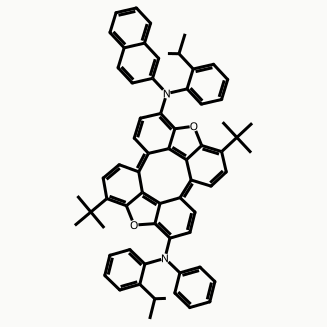 CC(C)c1ccccc1N(c1ccccc1)c1ccc2c3ccc(C(C)(C)C)c4oc5c(N(c6ccc7ccccc7c6)c6ccccc6C(C)C)ccc(c6ccc(C(C)(C)C)c7oc1c2c76)c5c43